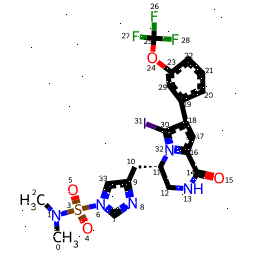 CN(C)S(=O)(=O)n1cnc(C[C@H]2CNC(=O)c3cc(-c4cccc(OC(F)(F)F)c4)c(I)n32)c1